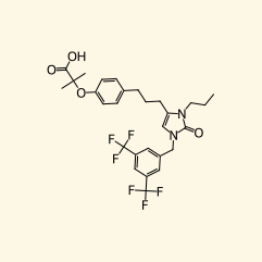 CCCn1c(CCCc2ccc(OC(C)(C)C(=O)O)cc2)cn(Cc2cc(C(F)(F)F)cc(C(F)(F)F)c2)c1=O